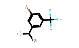 CC(C)c1cc(Br)cc(C(F)(F)F)c1